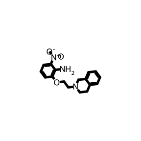 Nc1c(OCCN2CCc3ccccc3C2)cccc1[N+](=O)[O-]